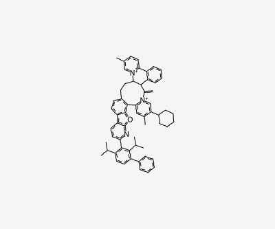 C=C1C2c3ccccc3-c3ccc(C)c[n+]3C2CCc2ccc3c(oc4nc(-c5c(C(C)C)ccc(-c6ccccc6)c5C(C)C)ccc43)c2-c2cc(C)c(C3CCCCC3)c[n+]21